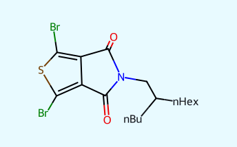 CCCCCCC(CCCC)CN1C(=O)c2c(Br)sc(Br)c2C1=O